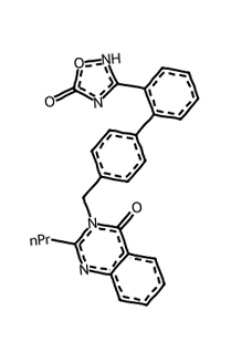 CCCc1nc2ccccc2c(=O)n1Cc1ccc(-c2ccccc2-c2nc(=O)o[nH]2)cc1